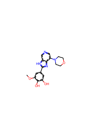 COc1cc(-c2nc3c(N4CCOCC4)cncc3[nH]2)cc(O)c1O